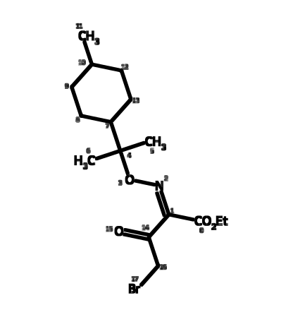 CCOC(=O)C(=NOC(C)(C)C1CCC(C)CC1)C(=O)CBr